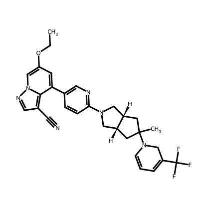 CCOc1cc(-c2ccc(N3C[C@@H]4CC(C)(N5C=CC=C(C(F)(F)F)C5)C[C@@H]4C3)nc2)c2c(C#N)cnn2c1